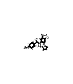 Nc1ccc(N2CCCC2)c(NC(=O)c2ccc(Br)cc2)c1